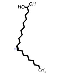 CCCCCCCC/C=C\CCCCCCCCCC(O)O